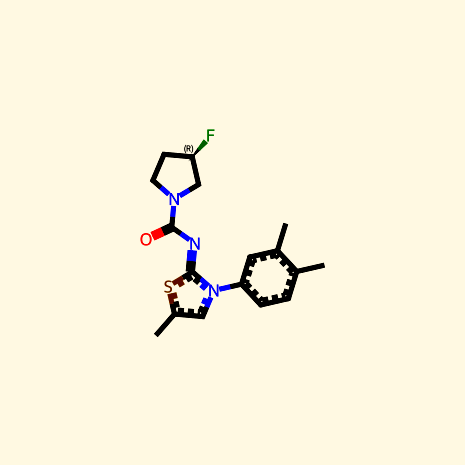 Cc1cn(-c2ccc(C)c(C)c2)c(=NC(=O)N2CC[C@@H](F)C2)s1